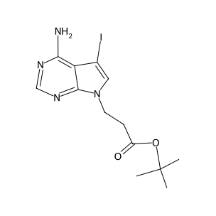 CC(C)(C)OC(=O)CCn1cc(I)c2c(N)ncnc21